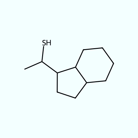 CC(S)C1CCC2CCCCC21